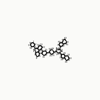 c1ccc(-c2nc3ccccc3c3c(-c4cccc(-c5ccc(-c6cc(-c7ccc8ccccc8c7)nc(-c7ccc8ccccc8c7)n6)cc5)c4)cccc23)cc1